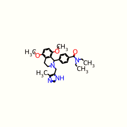 CCN(CC)C(=O)c1ccc(C2c3c(OC)ccc(OC)c3CCN2Cc2[nH]cnc2C)cc1